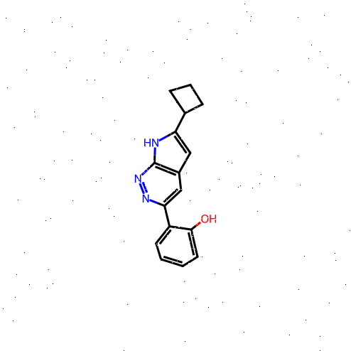 Oc1ccccc1-c1cc2cc(C3CCC3)[nH]c2nn1